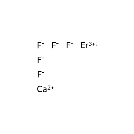 [Ca+2].[Er+3].[F-].[F-].[F-].[F-].[F-]